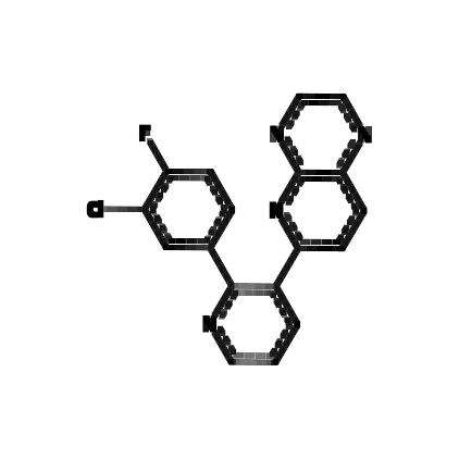 Fc1ccc(-c2ncccc2-c2ccc3nccnc3n2)cc1Cl